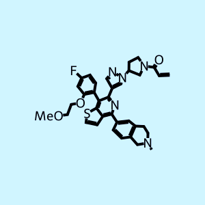 C=CC(=O)N1CCC(n2cc(-c3nc(-c4ccc5c(c4)CCN(C)C5)c4ccsc4c3-c3ccc(F)cc3OCCOC)cn2)C1